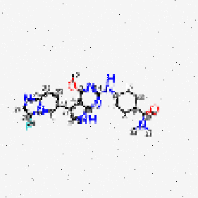 COc1nc(NC2CCC(C(=O)N(C)C)CC2)nc2[nH]cc(-c3ccc4ncc(F)n4c3)c12